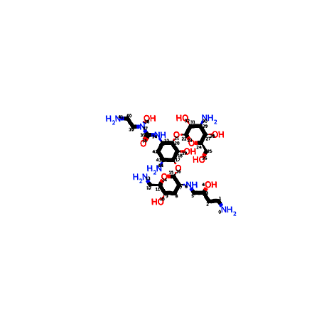 NCCC(O)CN[C@@H]1C[C@H](O)[C@@H](CN)O[C@@H]1O[C@H]1[C@H](O)[C@@H](O[C@H]2O[C@H](CO)[C@@H](O)[C@H](N)[C@H]2O)[C@H](NC(=O)N(O)CCN)C[C@@H]1N